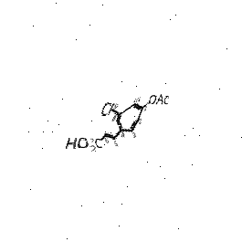 CC(=O)Oc1ccc(C=CC(=O)O)c(Cl)c1